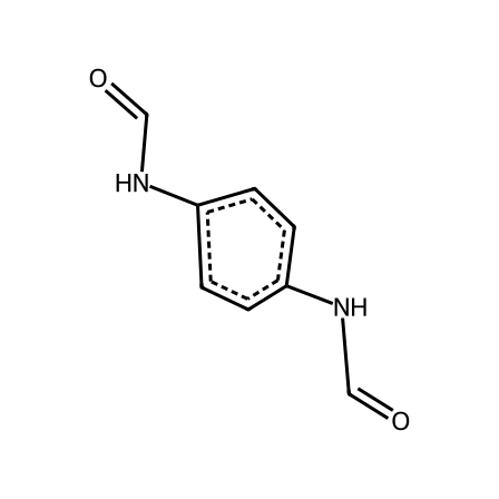 O=CNc1ccc(NC=O)cc1